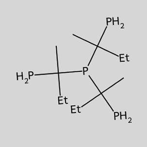 CCC(C)(P)P(C(C)(P)CC)C(C)(P)CC